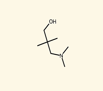 CN(C)CC(C)(C)CO